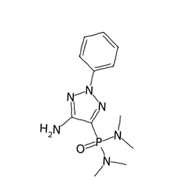 CN(C)P(=O)(c1nn(-c2ccccc2)nc1N)N(C)C